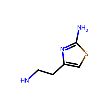 [NH]CCc1csc(N)n1